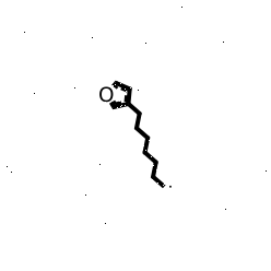 [CH2]CCCCCCc1ccoc1